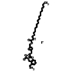 CCCCCCCCCCCCCCCCCCNC(=O)OCC1CC(COC(=O)N(Cc2cccc[n+]2CC)C(C)=O)O1.[I-]